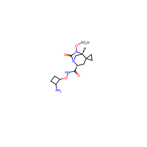 NC1CCC1ONC(=O)[C@@H]1CC2(CC2)[C@@H]2CN1C(=O)N2OS(=O)(=O)O